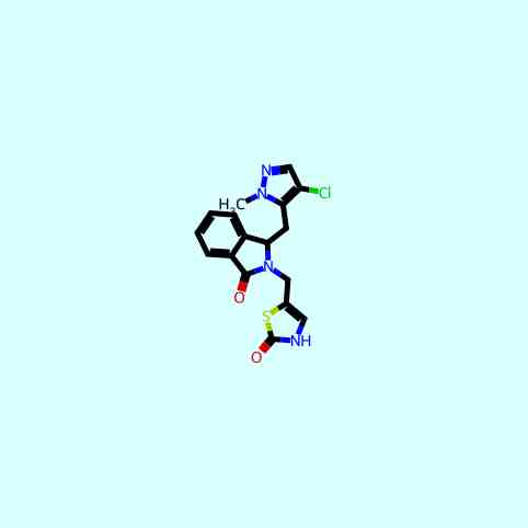 Cn1ncc(Cl)c1CC1c2ccccc2C(=O)N1Cc1c[nH]c(=O)s1